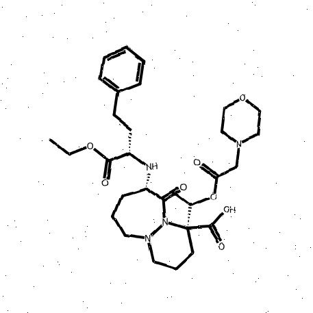 CCOC(=O)[C@H](CCc1ccccc1)N[C@H]1CCCN2CCC[C@@](C(=O)O)(C(C)OC(=O)CN3CCOCC3)N2C1=O